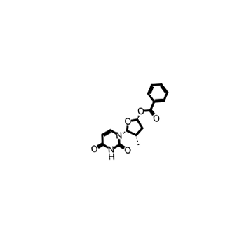 C[C@H]1C[C@@H](OC(=O)c2ccccc2)O[C@H]1n1ccc(=O)[nH]c1=O